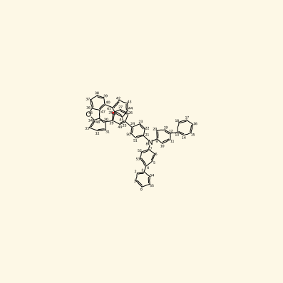 c1ccc(-c2ccc(N(c3ccc(-c4ccccc4)cc3)c3ccc(-c4cccc(-c5cccc6oc7cccc(-c8ccccc8)c7c56)c4)cc3)cc2)cc1